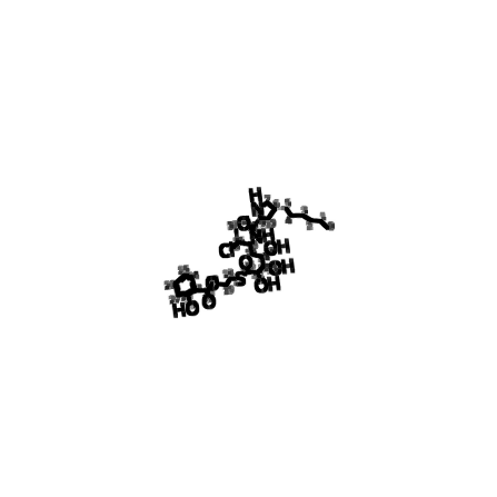 CCCCCC[C@H]1CN[C@H](C(=O)N[C@@H]([C@H]2O[C@H](SCCOC(=O)c3ccccc3O)[C@H](O)[C@@H](O)[C@H]2O)[C@H](C)Cl)C1